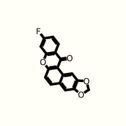 O=c1c2ccc(F)cc2oc2ccc3cc4c(cc3c12)OCO4